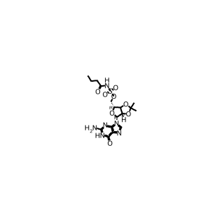 CCCC(=O)NS(=O)(=O)OC[C@H]1O[C@@H](n2cnc3c(=O)[nH]c(N)nc32)[C@H]2OC(C)(C)OC12